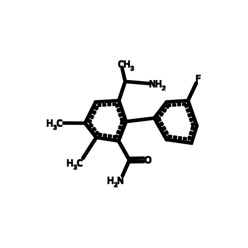 Cc1cc(C(C)N)c(-c2cccc(F)c2)c(C(N)=O)c1C